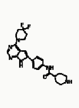 O=C(Nc1ccc(-c2cc3c(N4CCC(F)(F)CC4)ncnc3[nH]2)cc1)C1CCNCC1